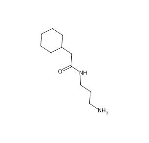 NCCCNC(=O)CC1CCCCC1